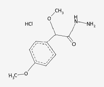 COc1ccc(C(OC)C(=O)NN)cc1.Cl